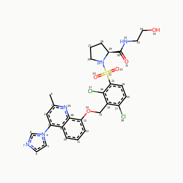 Cc1cc(-n2ccnc2)c2cccc(OCc3c(Cl)ccc(S(=O)(=O)N4CCC[C@H]4C(=O)NCCO)c3Cl)c2n1